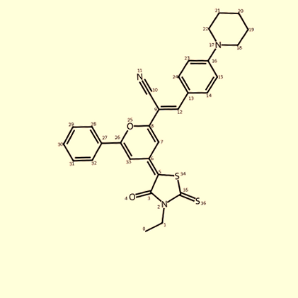 CCN1C(=O)/C(=C2/C=C(C(C#N)=Cc3ccc(N4CCCCC4)cc3)OC(c3ccccc3)=C2)SC1=S